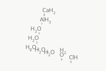 Cl.O.O.O.O.O.O.[AlH3].[CaH2]